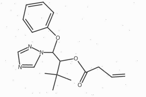 C=CCC(=O)OC(C(Oc1ccccc1)n1cncn1)C(C)(C)C